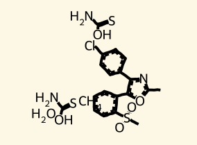 C.Cc1nc(-c2ccc(Cl)cc2)c(-c2ccccc2S(C)(=O)=O)o1.NC(O)=S.NC(O)=S.O